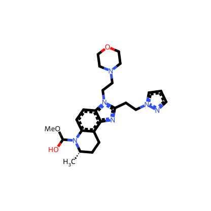 COC(O)N1c2ccc3c(nc(CCn4cccn4)n3CCN3CCOCC3)c2CC[C@@H]1C